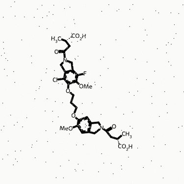 COc1cc2c(cc1OCCCOc1c(Cl)c3c(c(F)c1OC)CN(C(=O)C[C@H](C)C(=O)O)C3)CN(C(=O)C[C@H](C)C(=O)O)C2